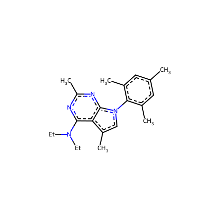 CCN(CC)c1nc(C)nc2c1c(C)cn2-c1c(C)cc(C)cc1C